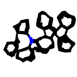 c1ccc(-c2ccccc2-n2c3ccccc3c3ccc4c(c32)-c2ccccc2C42c3ccccc3-c3ccccc32)cc1